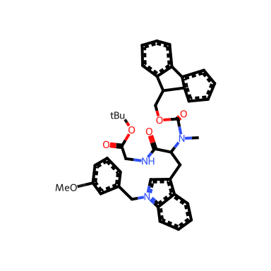 COc1cccc(Cn2cc(CC(C(=O)NCC(=O)OC(C)(C)C)N(C)C(=O)OCC3c4ccccc4-c4ccccc43)c3ccccc32)c1